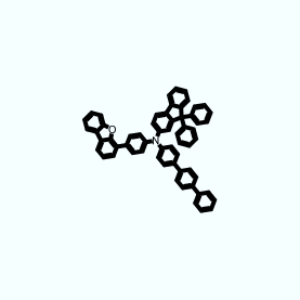 c1ccc(-c2ccc(-c3ccc(N(c4ccc(-c5cccc6c5oc5ccccc56)cc4)c4ccc5c(c4)C(c4ccccc4)(c4ccccc4)c4ccccc4-5)cc3)cc2)cc1